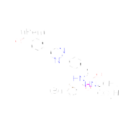 CCCCCC(=O)c1ccc(-c2cnc(-c3ccc(C[C@H](NC(=O)c4ccc(C(C)(C)C)s4)C(=O)N[C@H](C)C(=O)O)cc3)nc2)cc1